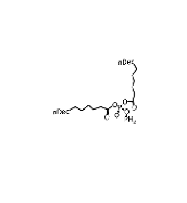 CCCCCCCCCCCCCCCC(=O)OP(=O)(OP)OC(=O)CCCCCCCCCCCCCCC